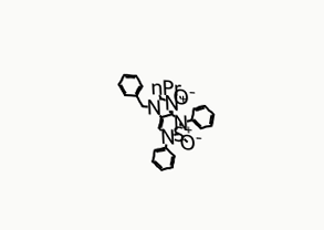 CCCC1N(Cc2ccccc2)C2=CN(c3ccccc3)[S+]([O-])N(c3ccccc3)C2=[N+]1[O-]